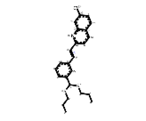 CCCSC(SCCC)c1cccc(/C=C/c2ccc3ccc(Cl)cc3n2)c1